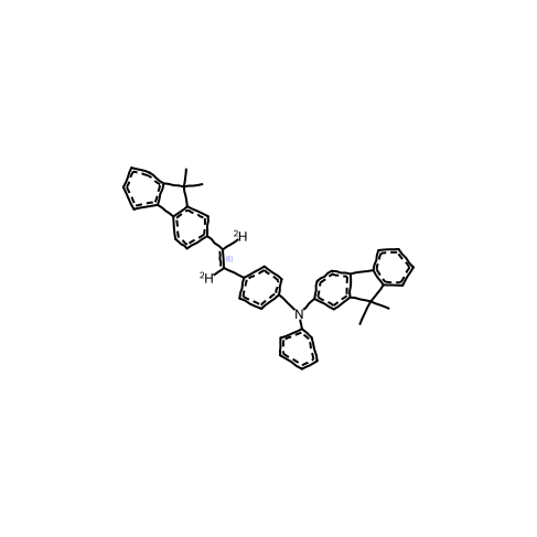 [2H]/C(=C(/[2H])c1ccc2c(c1)C(C)(C)c1ccccc1-2)c1ccc(N(c2ccccc2)c2ccc3c(c2)C(C)(C)c2ccccc2-3)cc1